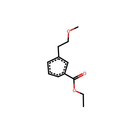 CCOC(=O)c1cccc(CCOC)c1